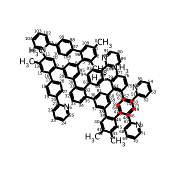 Cc1cc(C)c(-c2cc(-c3cc(C)c(C)cc3-c3ccc(-c4ccccn4)cc3)cc(-c3cccc(-c4cc(-c5cc(C)c(C)cc5-c5ccc(-c6ccccn6)cc5)cc(-c5c(-c6ccc(-c7ccccn7)cc6)ccc(C)c5C)c4)c3-c3ccc(-c4ncccn4)cc3)c2)c(-c2ccc(-c3ccccn3)cc2)c1